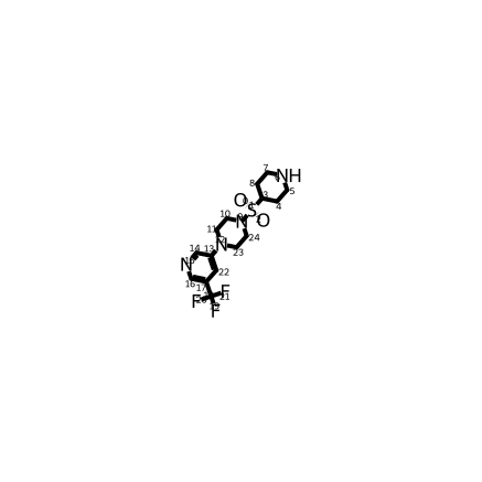 O=S(=O)(C1CCNCC1)N1CCN(c2cncc(C(F)(F)F)c2)CC1